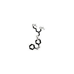 CCCCC(CC)CO[n+]1ccc(/N=N\c2ccccc2)cc1